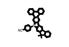 CC1(C)c2ccccc2-c2cc3c4cc5c6ccccc6c6ccccc6c5cc4n(-c4ccc(C#N)cc4)c3cc21